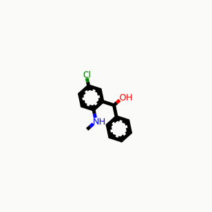 CNc1ccc(Cl)cc1C(O)c1ccccc1